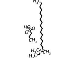 CCCCCCCCCCCCCCCC[N+](C)(C)CC.CCCS(=O)(=O)O